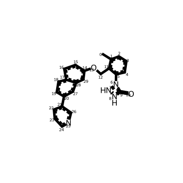 Cc1cccc(-n2[nH][nH]c2=O)c1COc1ccc2ccc(-c3cccnc3)cc2c1